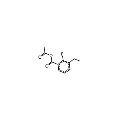 CCc1cccc(C(=O)OC(C)=O)c1F